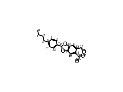 CCCCc1ccc(C2Oc3cc(C=O)c([N+](=O)[O-])cc3O2)cc1